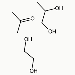 CC(C)=O.CC(O)CO.OCCO